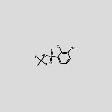 Nc1cccc(S(=O)(=O)NC(F)(F)F)c1Cl